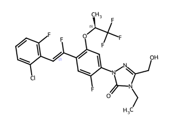 CCn1c(CO)nn(-c2cc(O[C@@H](C)C(F)(F)F)c(/C(F)=C/c3c(F)cccc3Cl)cc2F)c1=O